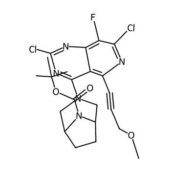 COCC#Cc1nc(Cl)c(F)c2nc(Cl)nc(N3CC4CCC(C3)N4C(=O)OC(C)(C)C)c12